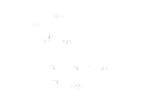 CCCCOCn1cc(CN[C@@H](CO)[C@@H](O)CO)c2ncnc(OC)c21